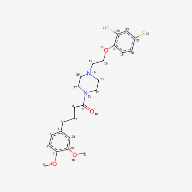 COc1ccc(CCCC(=O)N2CCN(CCOc3ccc(F)cc3F)CC2)cc1OC